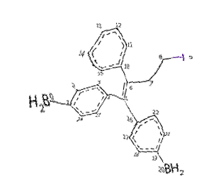 Bc1ccc(C(=C(CCI)c2ccccc2)c2ccc(B)cc2)cc1